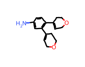 Nc1ccc(C2=CCOCC2)c(C2=CCOCC2)c1